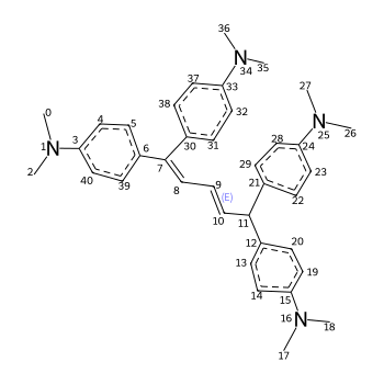 CN(C)c1ccc(C(=C/C=C/C(c2ccc(N(C)C)cc2)c2ccc(N(C)C)cc2)c2ccc(N(C)C)cc2)cc1